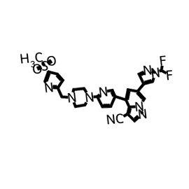 CS(=O)(=O)c1ccc(CN2CCN(c3ccc(-c4cc(-c5cnn(C(F)F)c5)cn5ncc(C#N)c45)cn3)CC2)nc1